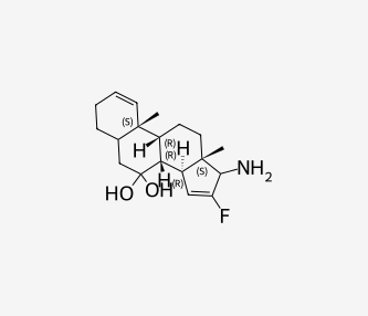 C[C@]12C=CCCC1CC(O)(O)[C@@H]1[C@H]2CC[C@]2(C)C(N)C(F)=C[C@@H]12